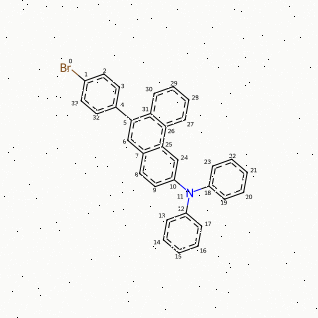 Brc1ccc(-c2cc3ccc(N(c4ccccc4)c4ccccc4)cc3c3ccccc23)cc1